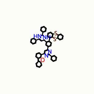 C1=C(c2ccccc2)NC(c2ccccc2)NC1c1cc(-c2cc(-c3cccc4c3oc3ccccc34)nc(-c3ccccc3)n2)ccc1-c1cccc2c1Sc1ccccc1S2